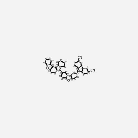 N#Cc1ccc2c(c1)c1cc(C#N)ccc1n2-c1ccc2oc3ccc(-n4c5ccccc5c5c6c(ccc54)oc4ccccc46)cc3c2c1